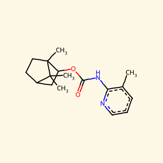 Cc1cccnc1NC(=O)OC1CC2CCC1(C)C2(C)C